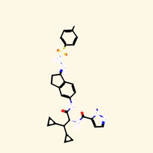 Cc1ccc(S(=O)(=O)N/N=C2\CCc3cc(NC(=O)[C@@H](NC(=O)c4ccnn4C(C)C)C(C4CC4)C4CC4)ccc32)cc1